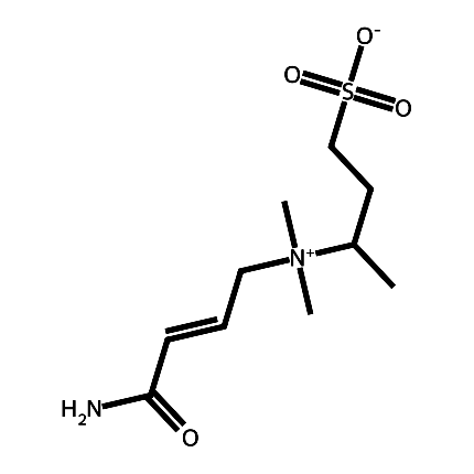 CC(CCS(=O)(=O)[O-])[N+](C)(C)CC=CC(N)=O